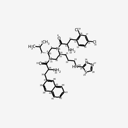 CC(C)C[C@@H]1CN(C(=O)C(N)Cc2ccc(Cl)cc2Cl)[C@@H](CCCNc2nncs2)CN1C(=O)C(N)Cc1ccc2ccccc2c1